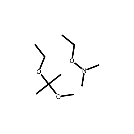 CCOC(C)(C)OC.CCON(C)C